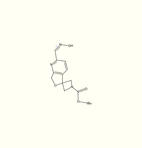 CC(C)(C)OC(=O)N1CC2(C1)OCc1nc(/C=N\O)ccc12